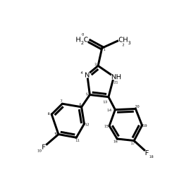 C=C(C)c1nc(-c2ccc(F)cc2)c(-c2ccc(F)cc2)[nH]1